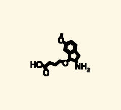 COc1ccc2c(c1)C(OCCCC(=O)O)C(N)C2